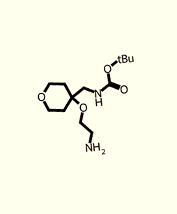 CC(C)(C)OC(=O)NCC1(OCCN)CCOCC1